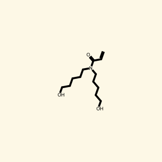 C=CC(=O)N(CCCCCO)CCCCCO